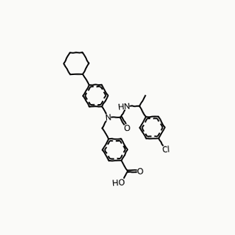 CC(NC(=O)N(Cc1ccc(C(=O)O)cc1)c1ccc(C2CCCCC2)cc1)c1ccc(Cl)cc1